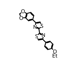 CCOc1ccc(-c2csc(-c3nc(-c4ccc5c(c4)OCO5)cs3)n2)cc1